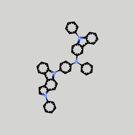 c1ccc(N(c2ccc(-n3c4ccccc4c4c5ccn(-c6ccccc6)c5ccc43)cc2)c2ccc3c(c2)c2ccccc2n3-c2ccccc2)cc1